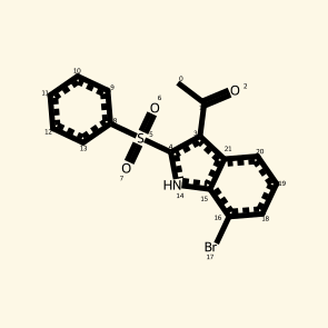 CC(=O)c1c(S(=O)(=O)c2ccccc2)[nH]c2c(Br)cccc12